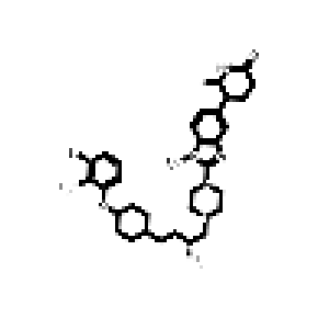 Cc1c(Br)cccc1OC1CCC(CC[C@H](C)CN2CCN(c3nc4cc(C5CCC(=O)NC5=O)ccc4n3C)CC2)CC1